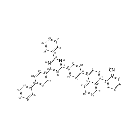 N#Cc1ccccc1-c1ccc(-c2ccc(-c3nc(-c4ccccc4)nc(-c4ccc(-c5ccccc5)cc4)n3)cc2)c2ccccc12